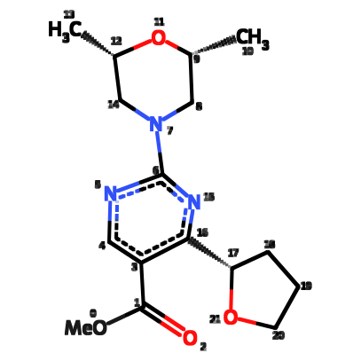 COC(=O)c1cnc(N2C[C@@H](C)O[C@@H](C)C2)nc1[C@@H]1CCCO1